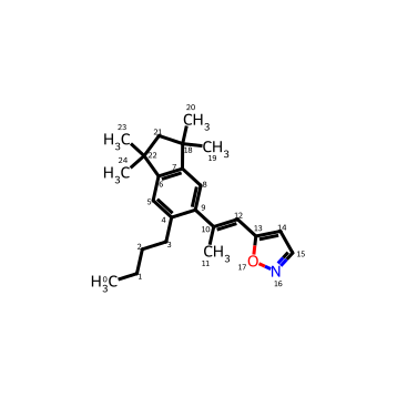 CCCCc1cc2c(cc1/C(C)=C/c1ccno1)C(C)(C)CC2(C)C